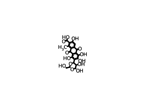 Cc1c(C(=O)O)c(O)cc2c1C(=O)c1c(O)c(C3OC(CO)OC(O)C3O)c(O)c(O)c1C2=O